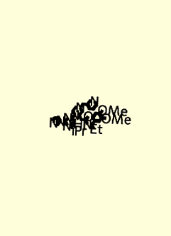 CCC(NC(=O)CC1CN(Cc2cccnc2)CCN1c1cc(C(C)C)nc(-n2ccnc2)n1)c1ccc(OC)c(OC)c1